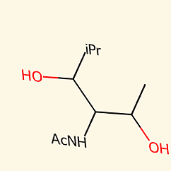 CC(=O)NC(C(C)O)C(O)C(C)C